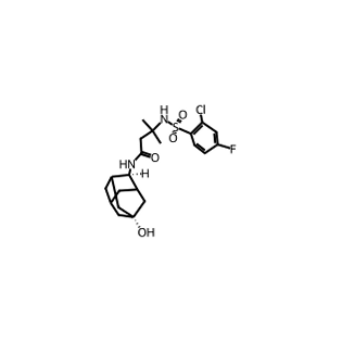 CC(C)(CC(=O)N[C@H]1C2CC3CC1C[C@](O)(C3)C2)NS(=O)(=O)c1ccc(F)cc1Cl